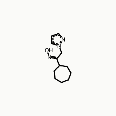 ON=C(Cn1cccn1)C1CCCCCC1